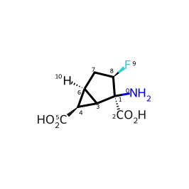 N[C@@]1(C(=O)O)C2[C@@H](C(=O)O)[C@H]2C[C@H]1F